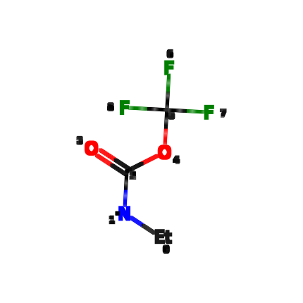 CC[N]C(=O)OC(F)(F)F